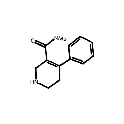 CNC(=O)C1=C(c2ccccc2)CCNC1